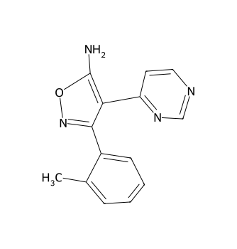 Cc1ccccc1-c1noc(N)c1-c1ccncn1